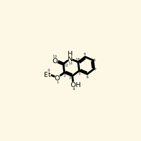 CCOc1c(O)c2ccccc2[nH]c1=O